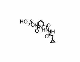 O=C(CC1CC1)NNC(=O)[C@@H]1CCC2CN1C(=O)N2OS(=O)(=O)O